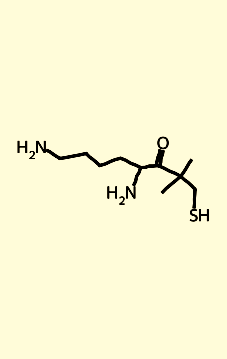 CC(C)(CS)C(=O)C(N)CCCCN